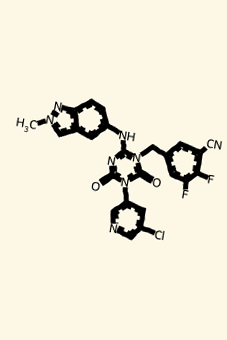 Cn1cc2cc(Nc3nc(=O)n(-c4cncc(Cl)c4)c(=O)n3Cc3cc(F)c(F)c(C#N)c3)ccc2n1